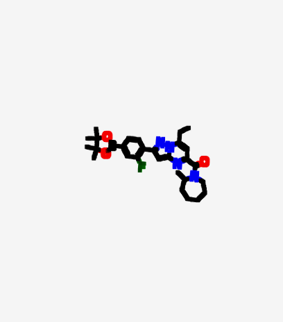 CCc1cc(C(=O)N2CCCCCC2C)nc2cc(-c3ccc(B4OC(C)(C)C(C)(C)O4)cc3F)nn12